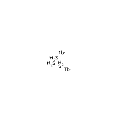 S.S.S.[Tb].[Tb]